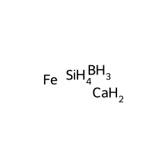 B.[CaH2].[Fe].[SiH4]